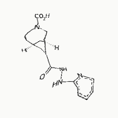 O=C(NNc1ccccn1)C1[C@H]2CN(C(=O)O)C[C@@H]12